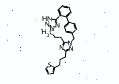 CCCc1nc(CCCc2cccs2)nn1Cc1ccc(-c2ccccc2-c2nnn[nH]2)cc1